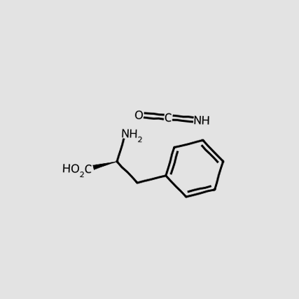 N=C=O.N[C@@H](Cc1ccccc1)C(=O)O